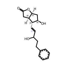 O=C1C[C@@H]2[C@@H](/C=C/C(O)CCc3ccccc3)[C@H](O)C[C@@H]2O1